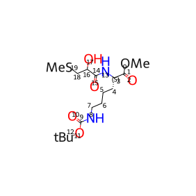 COC(=O)[C@H](CCCCNC(=O)OC(C)(C)C)NC(=O)C(O)CSC